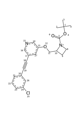 CC(C)(C)OC(=O)N1CCC1COc1cncc(C#Cc2cccc(Cl)c2)c1